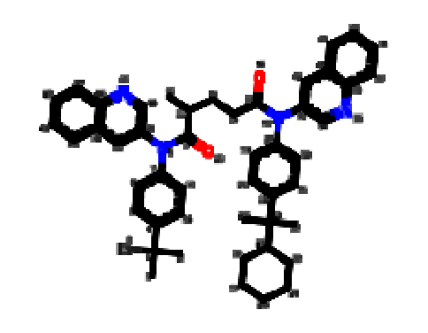 CCC(C)(C)c1ccc(N(C(=O)C(C)CCC(=O)N(c2ccc(C(C)(C)C3CCCCC3)cc2)c2cnc3ccccc3c2)c2cnc3ccccc3c2)cc1